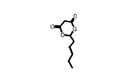 CCCCCC1OC(=O)CC(=O)O1